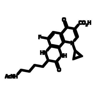 CC(=O)NCCCCC1Nc2c(F)cc3c(=O)c(C(=O)O)cn(C4CC4)c3c2NC1=O